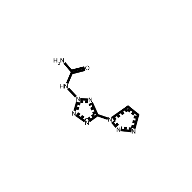 NC(=O)Nn1nnc(-n2ccnn2)n1